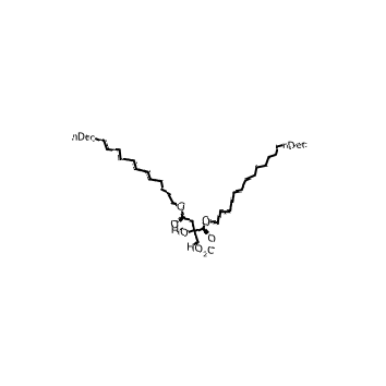 CCCCCCCCCCCCCCCCCCCCCCOC(=O)CC(O)(CC(=O)O)C(=O)OCCCCCCCCCCCCCCCCCCCCCC